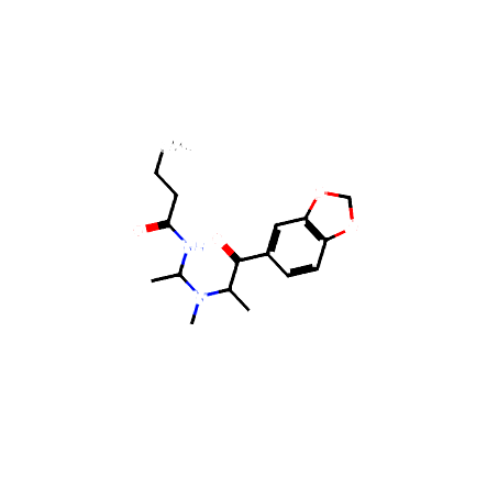 CSCCC(=O)NC(C)N(C)C(C)C(=O)c1ccc2c(c1)OCO2